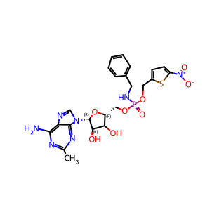 Cc1nc(N)c2ncn([C@@H]3O[C@H](COP(=O)(NCc4ccccc4)OCc4ccc([N+](=O)[O-])s4)C(O)[C@H]3O)c2n1